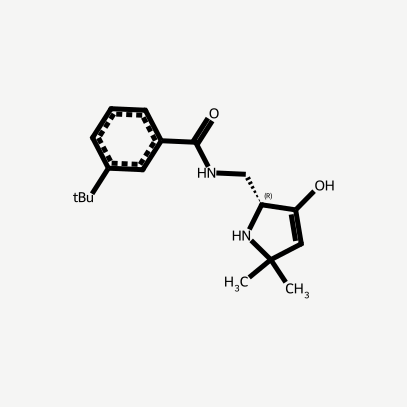 CC1(C)C=C(O)[C@@H](CNC(=O)c2cccc(C(C)(C)C)c2)N1